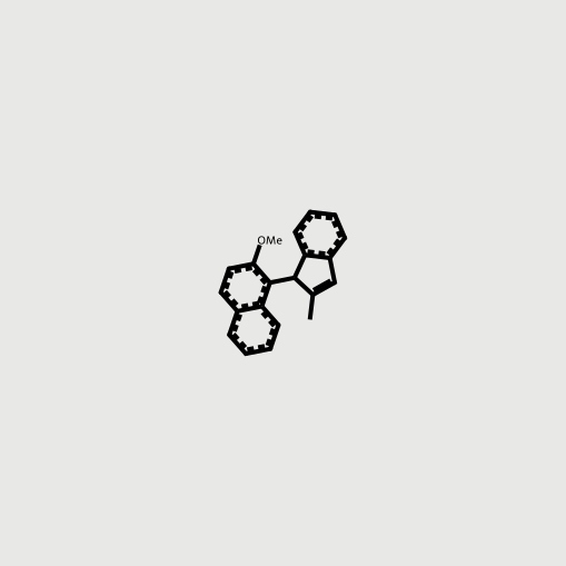 COc1ccc2ccccc2c1C1C(C)=Cc2ccccc21